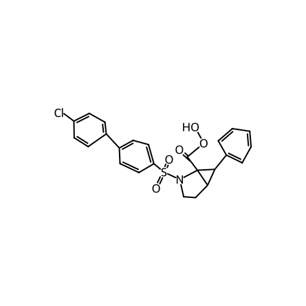 O=C(OO)C12C(CCN1S(=O)(=O)c1ccc(-c3ccc(Cl)cc3)cc1)C2c1ccccc1